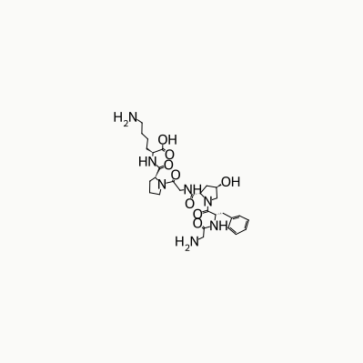 NCCCC[C@H](NC(=O)[C@@H]1CCCN1C(=O)CNC(=O)[C@@H]1C[C@@H](O)CN1C(=O)[C@H](Cc1ccccc1)NC(=O)CN)C(=O)O